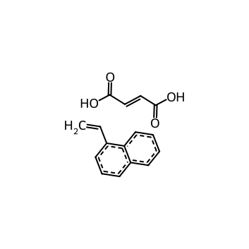 C=Cc1cccc2ccccc12.O=C(O)C=CC(=O)O